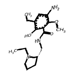 CCc1cc(N)c(OC)c(C(=O)NC[C@@H]2CCCN2CC)c1O